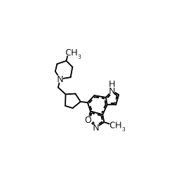 Cc1noc2c(C3CCC(CN4CCC(C)CC4)C3)cc3[nH]ccc3c12